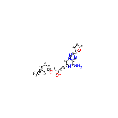 Nc1nc(C#CC(O)COc2cccc(C(F)(F)F)c2)cn2nc(-c3ccco3)nc12